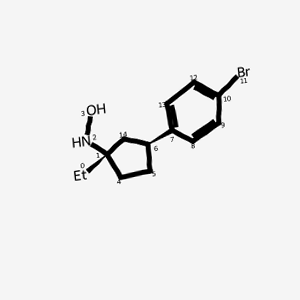 CC[C@]1(NO)CC[C@H](c2ccc(Br)cc2)C1